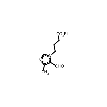 CCOC(=O)CCCn1cnc(C)c1C=O